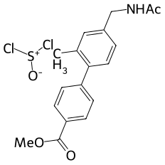 COC(=O)c1ccc(-c2ccc(CNC(C)=O)cc2C)cc1.[O-][S+](Cl)Cl